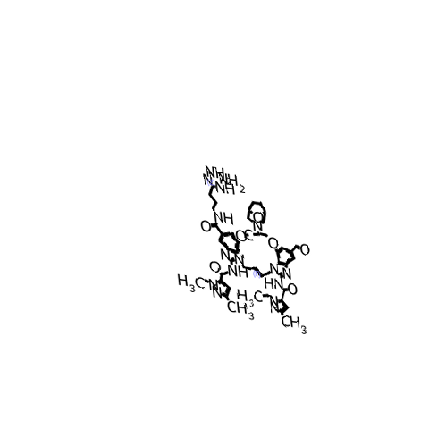 CCn1nc(C)cc1C(=O)Nc1nc2cc(C=O)cc3c2n1C/C=C/Cn1c(NC(=O)c2cc(C)nn2CC)nc2cc(C(=O)NCCC/C(=N/N)NN)cc(c21)OCC(N1CC2CCC(C1)O2)CO3